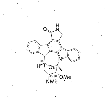 CN[C@@H]1C[C@H]2O[C@@](C)([C@@H]1OC)n1c3ccccc3c3c4c(c5c(c31)C2c1ccccc1-5)C(=O)NC4